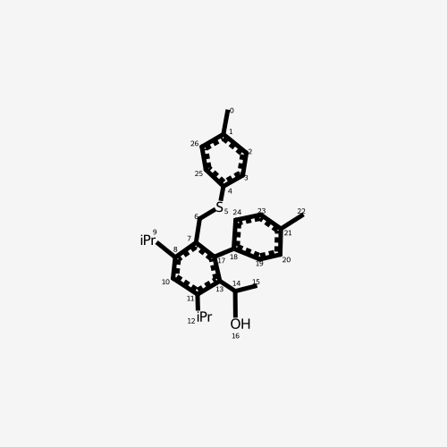 Cc1ccc(SCc2c(C(C)C)cc(C(C)C)c(C(C)O)c2-c2ccc(C)cc2)cc1